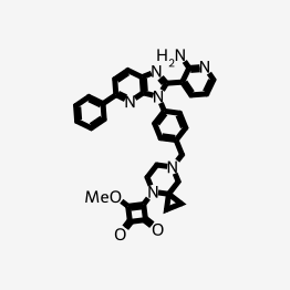 COc1c(N2CCN(Cc3ccc(-n4c(-c5cccnc5N)nc5ccc(-c6ccccc6)nc54)cc3)CC23CC3)c(=O)c1=O